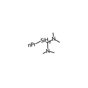 CCC[SiH2]C(N(C)C)N(C)C